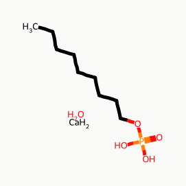 CCCCCCCCCOP(=O)(O)O.O.[CaH2]